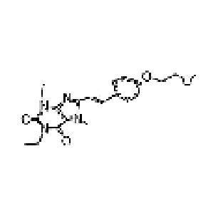 CCn1c(=O)c2c(nc(/C=C/c3ccc(OCCOC)cc3)n2C)n(CC)c1=O